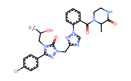 CC1C(=O)NCCN1C(=O)c1ccccc1-n1cnc(Cn2nc(-c3ccc(Cl)cc3)n(CC(O)C(F)(F)F)c2=O)n1